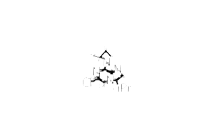 CC(C)c1cnc2c(N3CC[C@@H]3C)nc(Cl)cn12